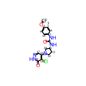 O=C(Nc1ccc(OC(F)(F)F)cc1)N[C@@H]1CCN(c2cn[nH]c(=O)c2Cl)C1